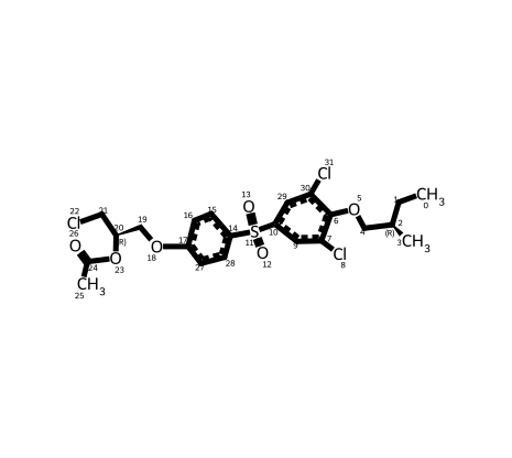 CC[C@@H](C)COc1c(Cl)cc(S(=O)(=O)c2ccc(OC[C@H](CCl)OC(C)=O)cc2)cc1Cl